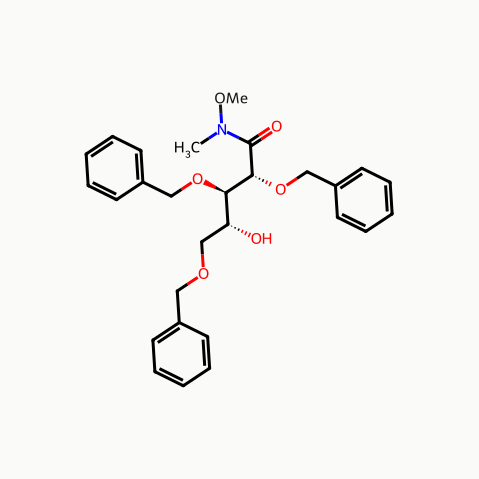 CON(C)C(=O)[C@H](OCc1ccccc1)[C@H](OCc1ccccc1)[C@H](O)COCc1ccccc1